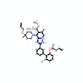 C=CCOC1(C)CCN(c2c([C@H](OC(C)(C)C)C(=O)O)c(C)cn3nc(-c4cccc(-c5c(F)cccc5O[C@@H](C)CC=C)c4)cc23)CC1